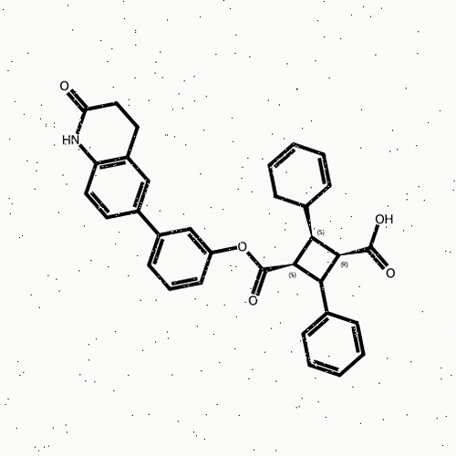 O=C1CCc2cc(-c3cccc(OC(=O)[C@@H]4C(c5ccccc5)[C@H](C(=O)O)[C@@H]4C4C=CC=CC4)c3)ccc2N1